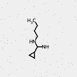 CCCCNC([NH])C1CC1